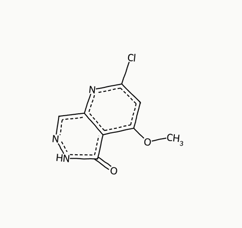 COc1cc(Cl)nc2cn[nH]c(=O)c12